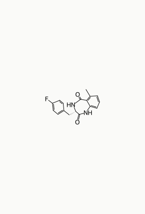 Cc1cccc2c1C(=O)N[C@@H](Cc1ccc(F)cc1)C(=O)N2